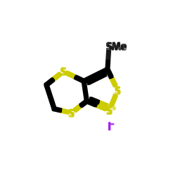 CSc1s[s+]c2c1SCCS2.[I-]